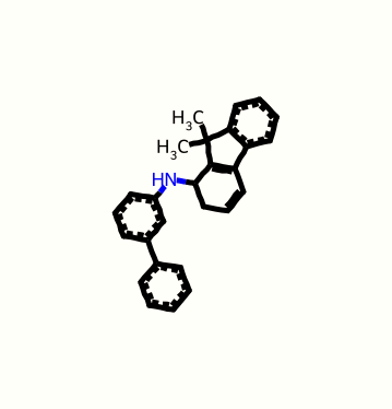 CC1(C)C2=C(C=CCC2Nc2cccc(-c3ccccc3)c2)c2ccccc21